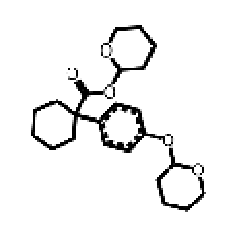 O=C(OC1CCCCO1)C1(c2ccc(OC3CCCCO3)cc2)CCCCC1